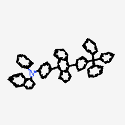 c1ccc(N(c2ccc(-c3c4ccccc4c(-c4ccc(C(c5ccccc5)(c5ccccc5)c5ccccc5)cc4)c4ccccc34)cc2)c2cccc3ccccc23)cc1